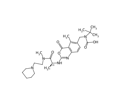 Cc1c(CN(C(=O)O)C(C)(C)C)ccc2nc(N[C@@H](C)C(=O)N(C)CCN3CCCCC3)oc(=O)c12